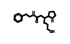 O=C(CC(SCCO)C1CCCN1)NCCc1ccccc1